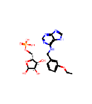 CCOc1cccc(CNc2ncnc3nc[nH]c23)c1.O=P(O)(O)OC[C@H]1OC(O)[C@H](O)[C@@H]1O